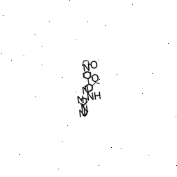 CC1Oc2cc(N3CCCC3=O)ccc2-c2cnc(Nc3cncc(-n4cccn4)c3)cc21